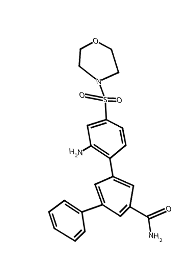 NC(=O)c1cc(-c2ccccc2)cc(-c2ccc(S(=O)(=O)N3CCOCC3)cc2N)c1